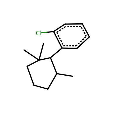 CC1C[CH]CC(C)(C)C1c1ccccc1Cl